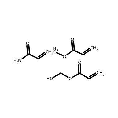 C=CC(=O)OC.C=CC(=O)OCO.C=CC(N)=O